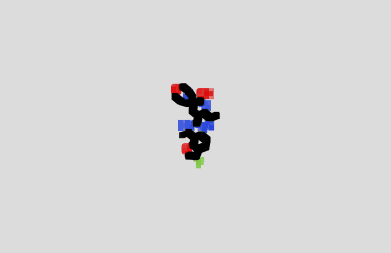 Cc1nnc(N[C@H](C)c2cccc3c(F)coc23)c2cc(N3C4CCC3COC4)c(O)nc12